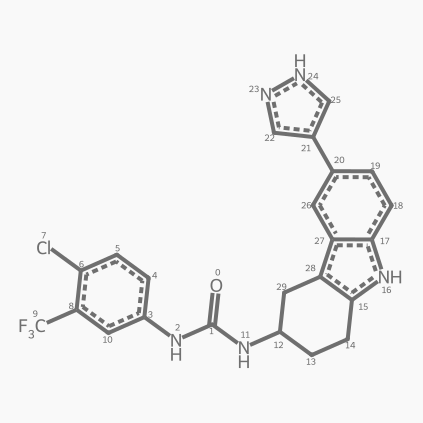 O=C(Nc1ccc(Cl)c(C(F)(F)F)c1)NC1CCc2[nH]c3ccc(-c4cn[nH]c4)cc3c2C1